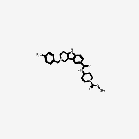 CC(C)(C)OC(=O)N1CCC(NC(=O)c2ccc3[nH]c4c(c3c2)CN(Cc2ccc(C(F)(F)F)cc2)CC4)CC1